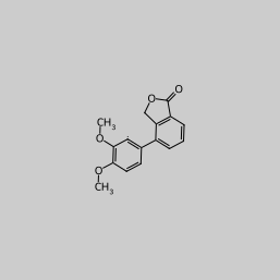 COc1[c]c(-c2cccc3c2COC3=O)ccc1OC